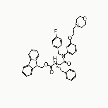 O=C(N[C@@H](Cc1ccccc1)C(=O)N(Cc1ccc(F)cc1)c1cccc(OCCN2CCOCC2)c1)OCC1c2ccccc2-c2ccccc21